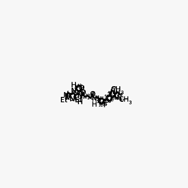 CCc1nc2c(cnn2CC)c(NC2CCOCC2)c1CNC(=O)CCCC(=O)NCc1ccc(F)c(-c2cccc(CN(C)C3CCN(C)CC3)c2)c1